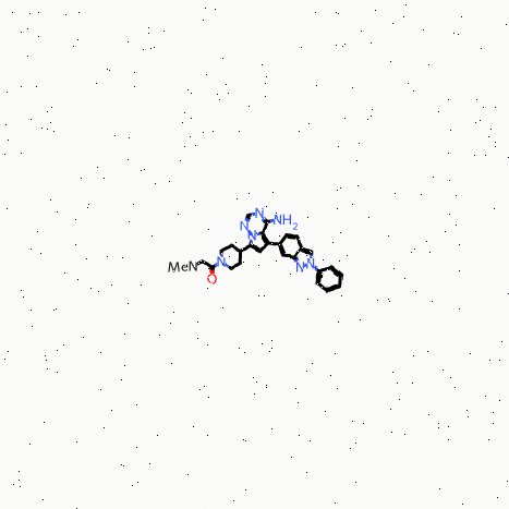 CNCC(=O)N1CCC(c2cc(-c3ccc4cn(-c5ccccc5)nc4c3)c3c(N)ncnn23)CC1